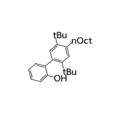 CCCCCCCCc1cc(C(C)(C)C)c(-c2ccccc2O)cc1C(C)(C)C